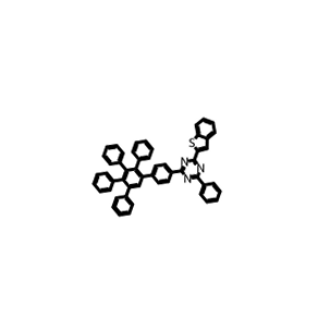 C1=C=CC(c2cc(-c3ccc(-c4nc(-c5ccccc5)nc(-c5cc6ccccc6s5)n4)cc3)c(-c3ccccc3)c(-c3ccccc3)c2-c2ccccc2)=CC=1